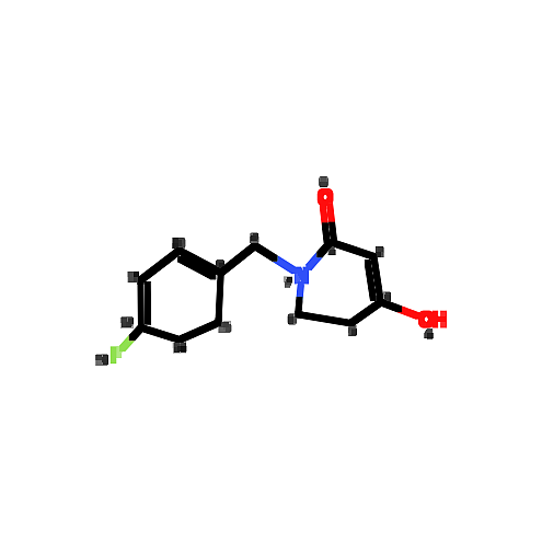 O=C1C=C(O)CCN1CC1=CC=C(F)CC1